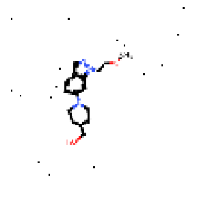 COCCn1ncc2ccc(N3CCC(CO)CC3)cc21